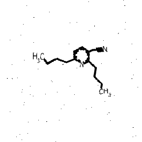 CCCCc1ccc(C#N)c(CCCC)n1